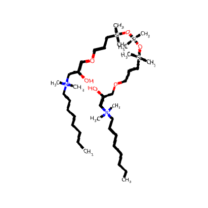 CCCCCCCC[N+](C)(C)CC(O)COCCC[Si](C)(C)O[Si](C)(C)O[Si](C)(C)CCCOCC(O)C[N+](C)(C)CCCCCCCC